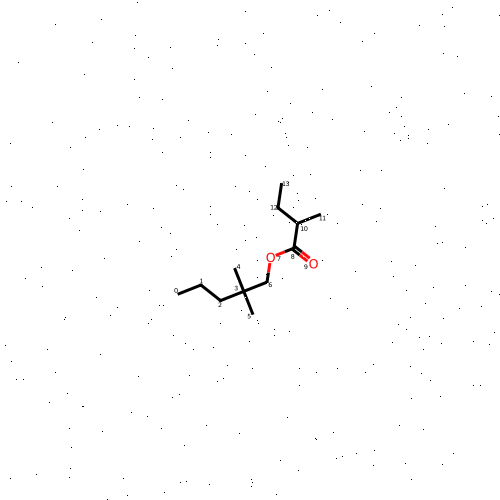 CCCC(C)(C)COC(=O)C(C)CC